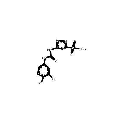 CCCCCCS(=O)(=O)c1nnc(NC(=O)Nc2ccc(Cl)c(Cl)c2)s1